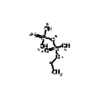 CCOP(=O)(O)OP(O)(O)=S